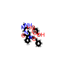 Cc1[nH]cnc1CN1CCc2c(c3ccccc3n2COCc2ccccc2)C1=O.O=C(O)/C=C\C(=O)O